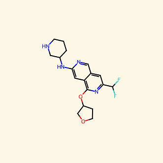 FC(F)c1cc2cnc(NC3CCCNC3)cc2c(OC2CCOC2)n1